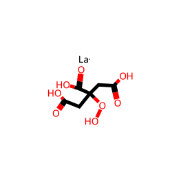 O=C(O)CC(CC(=O)O)(OO)C(=O)O.[La]